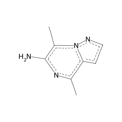 Cc1nc(N)c(C)n2nccc12